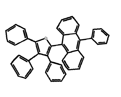 c1ccc(-c2oc(-c3c4ccccc4c(-c4ccccc4)c4ccccc34)c(-c3ccccc3)c2-c2ccccc2)cc1